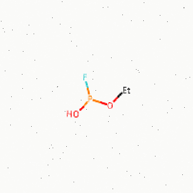 CCOP(O)F